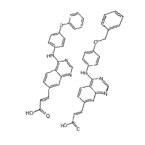 O=C(O)C=Cc1ccc2c(Nc3ccc(OCc4ccccc4)cc3)ncnc2c1.O=C(O)C=Cc1ccc2c(Nc3ccc(Oc4ccccc4)cc3)ncnc2c1